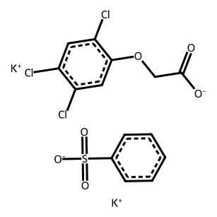 O=C([O-])COc1cc(Cl)c(Cl)cc1Cl.O=S(=O)([O-])c1ccccc1.[K+].[K+]